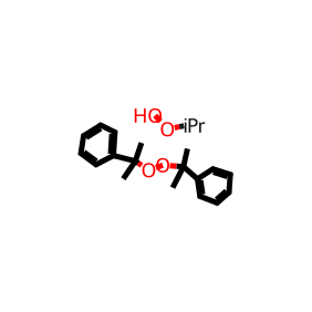 CC(C)(OOC(C)(C)c1ccccc1)c1ccccc1.CC(C)OO